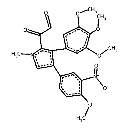 COc1ccc(-c2cn(C)c(C(=O)C=O)c2-c2cc(OC)c(OC)c(OC)c2)cc1[N+](=O)[O-]